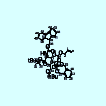 C=CCOC(=O)OC1[C@H](OP2(=O)OCc3ccccc3CO2)C(COCCCC)O[C@@H](O[Si](C)(C)C(C)(C)C)[C@H]1NC(=O)OCC1c2ccccc2-c2ccccc21